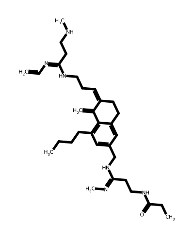 C=C/N=C(/CCNC)NCC/C=C1/CCc2cc(CN/C(CCNC(=O)CC)=N\C)cc(CCCC)c2C1=C